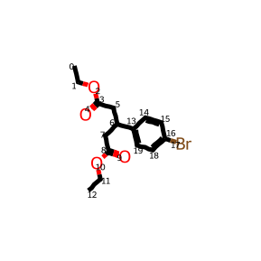 CCOC(=O)CC(CC(=O)OCC)c1ccc(Br)cc1